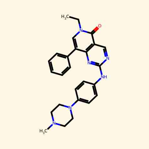 CCn1cc(-c2ccccc2)c2nc(Nc3ccc(N4CCN(C)CC4)cc3)ncc2c1=O